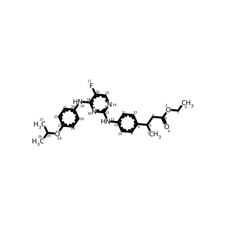 CCOC(=O)CC(C)c1ccc(Nc2ncc(F)c(Nc3ccc(OC(C)C)cc3)n2)cc1